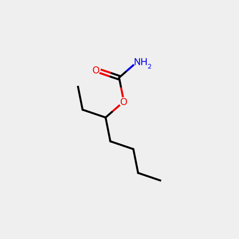 CCCCC(CC)OC(N)=O